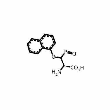 N[C@H](C(=O)O)C(Oc1cccc2ccccc12)P=O